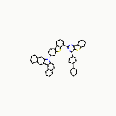 c1ccc(-c2ccc(-c3nc(-c4cccc5c4sc4cc(-n6c7cc8ccccc8cc7c7c8ccccc8ccc76)ccc45)nc4c3sc3ccccc34)cc2)cc1